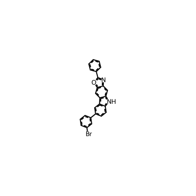 Brc1cccc(-c2ccc3[nH]c4cc5nc(-c6ccccc6)oc5cc4c3c2)c1